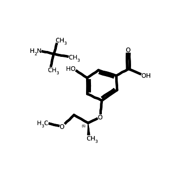 CC(C)(C)N.COC[C@H](C)Oc1cc(O)cc(C(=O)O)c1